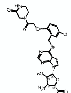 CNC(=O)[C@H]1O[C@@H](n2cnc3c(NCc4cc(Cl)ccc4OCC(=O)N4CCNC(=O)C4)ncnc32)[C@H](O)[C@@H]1N